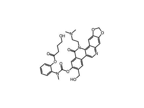 CN(C)CCn1c(=O)c2cc(OC(=O)N(C)c3ccccc3OC(=O)CCCO)c(CO)cc2c2cnc3cc4c(cc3c21)OCO4